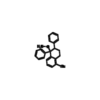 CC(C)(C)c1cccc2c1CCC(c1ccccc1)C2(O[SiH3])c1ccccc1